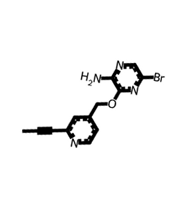 CC#Cc1cc(COc2nc(Br)cnc2N)ccn1